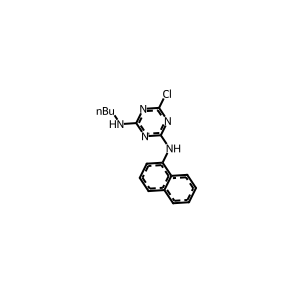 CCCCNc1nc(Cl)nc(Nc2cccc3ccccc23)n1